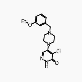 CCOc1cccc(CN2CCN(c3cn[nH]c(=O)c3Cl)CC2)c1